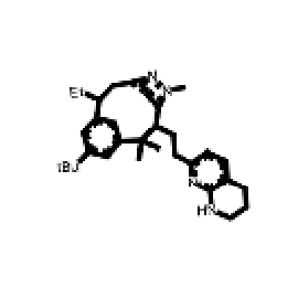 CCC1Cc2cc(n(C)n2)C(CCc2ccc3c(n2)NCCC3)C(C)(C)c2cc1cc(C(C)(C)C)c2